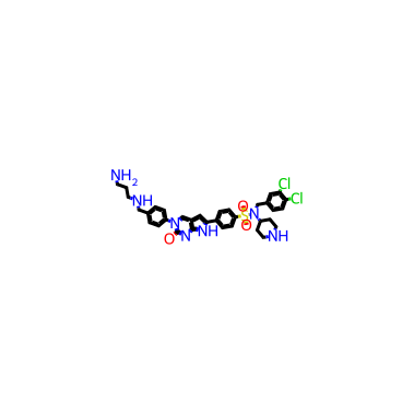 NCCCNCc1ccc(-n2cc3cc(-c4ccc(S(=O)(=O)N(Cc5ccc(Cl)c(Cl)c5)C5CCNCC5)cc4)[nH]c3nc2=O)cc1